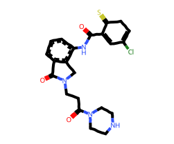 O=C(Nc1cccc2c1CN(CCC(=O)N1CCNCC1)C2=O)C1=CC(Cl)=CCC1=S